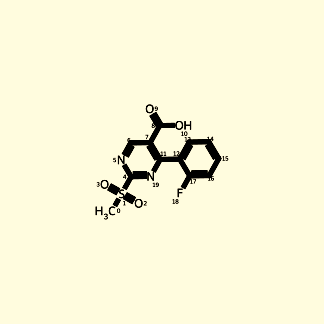 CS(=O)(=O)c1ncc(C(=O)O)c(-c2ccccc2F)n1